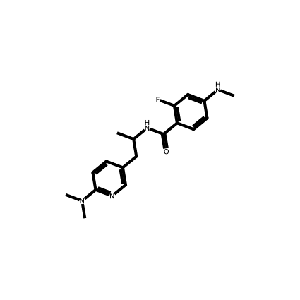 CNc1ccc(C(=O)NC(C)Cc2ccc(N(C)C)nc2)c(F)c1